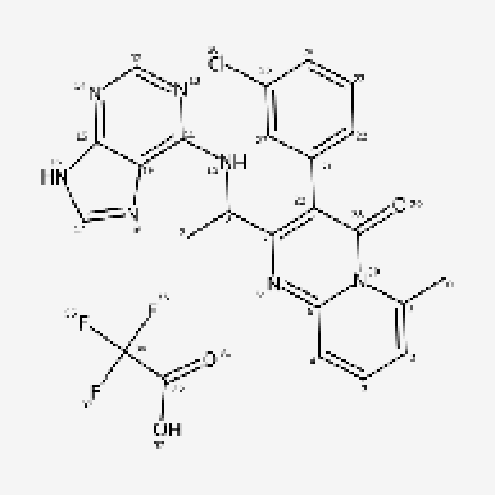 Cc1cccc2nc(C(C)Nc3ncnc4[nH]cnc34)c(-c3cccc(Cl)c3)c(=O)n12.O=C(O)C(F)(F)F